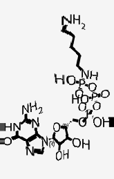 NCCCCCNP(=O)(O)OP(=O)(O)OP(=O)(O)OC[C@H]1O[C@@H](n2cnc3c(=O)[nH]c(N)nc32)C(O)C1O